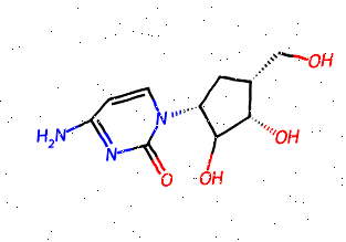 Nc1ccn([C@@H]2C[C@H](CO)[C@H](O)C2O)c(=O)n1